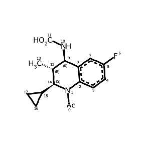 CC(=O)N1c2ccc(F)cc2[C@H](NC(=O)O)[C@@H](C)[C@@H]1C1CC1